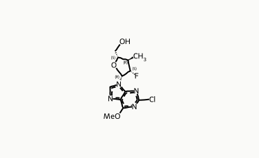 COc1nc(Cl)nc2c1ncn2[C@@H]1O[C@H](CO)[C@@H](C)[C@@H]1F